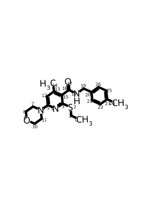 CCSc1nc(N2CCOCC2)cc(C)c1C(=O)NCc1ccc(C)cc1